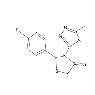 Cc1nnc(N2C(=O)CSC2c2ccc(F)cc2)s1